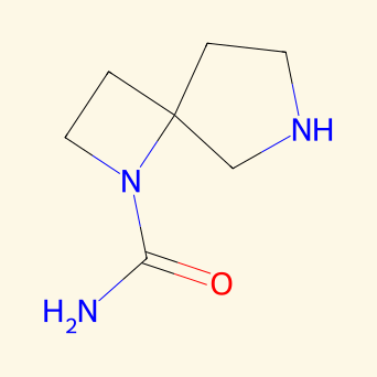 NC(=O)N1CCC12CCNC2